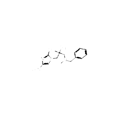 CN(Cc1ccccc1)CC(C)(O)Cn1cc([N+](=O)[O-])nc1Cl